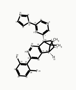 CC1(C)[C@H]2CC[C@]1(c1cncc(-n3ccnc3)n1)c1nnc(-c3c(F)cccc3F)cc12